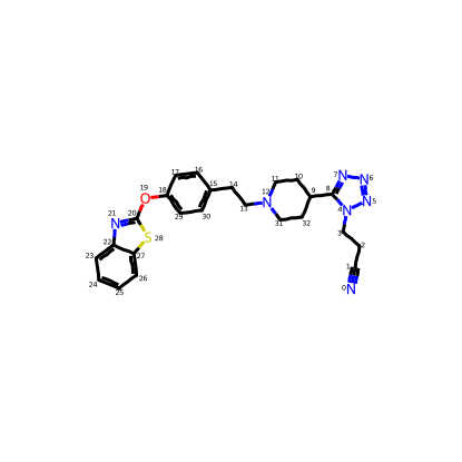 N#CCCn1nnnc1C1CCN(CCc2ccc(Oc3nc4ccccc4s3)cc2)CC1